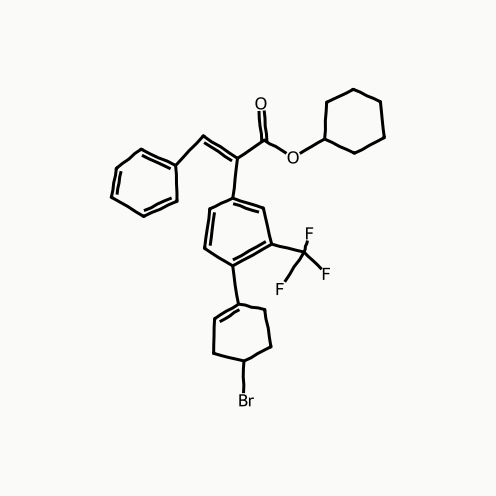 O=C(OC1CCCCC1)C(=Cc1ccccc1)c1ccc(C2=CCC(Br)CC2)c(C(F)(F)F)c1